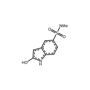 CNS(=O)(=O)c1ccc2[nH]c(O)cc2c1